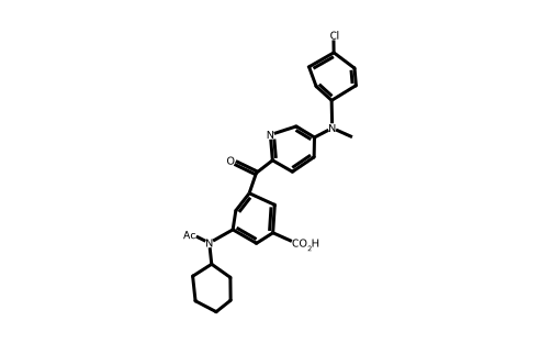 CC(=O)N(c1cc(C(=O)O)cc(C(=O)c2ccc(N(C)c3ccc(Cl)cc3)cn2)c1)C1CCCCC1